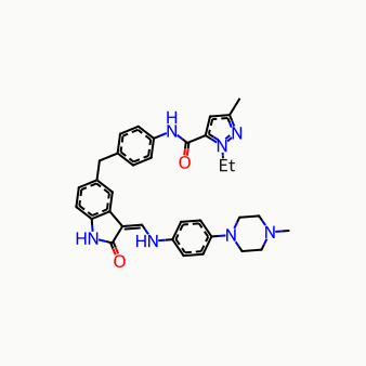 CCn1nc(C)cc1C(=O)Nc1ccc(Cc2ccc3c(c2)C(=CNc2ccc(N4CCN(C)CC4)cc2)C(=O)N3)cc1